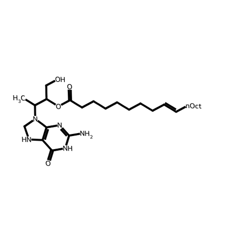 CCCCCCCCC=CCCCCCCCC(=O)OC(CO)C(C)N1CNc2c1nc(N)[nH]c2=O